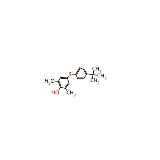 Cc1cc(Sc2ccc(C(C)(C)C)cc2)cc(C)c1O